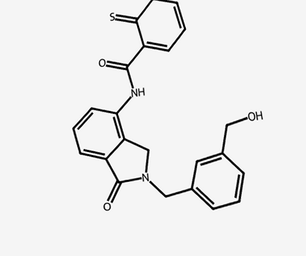 O=C(Nc1cccc2c1CN(Cc1cccc(CO)c1)C2=O)C1=CC=CCC1=S